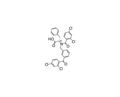 O=C(c1cccc(CN(C(=O)c2ccc(Cl)cc2Cl)[C@@H](Cc2ccccc2)C(=O)O)c1)c1ccc(Cl)cc1Cl